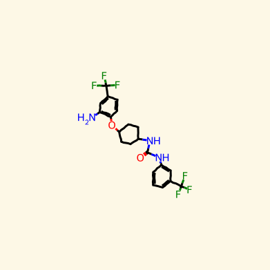 Nc1cc(C(F)(F)F)ccc1OC1CCC(NC(=O)Nc2cccc(C(F)(F)F)c2)CC1